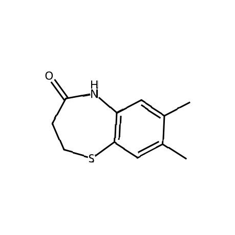 Cc1cc2c(cc1C)SCCC(=O)N2